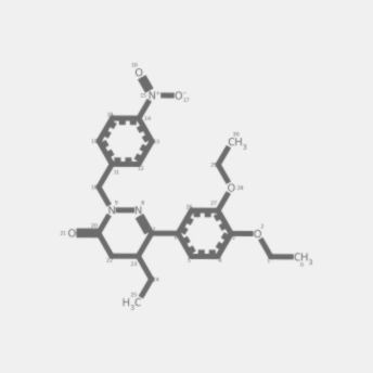 CCOc1ccc(C2=NN(Cc3ccc([N+](=O)[O-])cc3)C(=O)CC2CC)cc1OCC